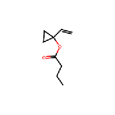 C=CC1(OC(=O)CCC)CC1